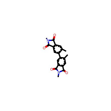 Cc1cc2c(cc1-c1cc3c(cc1C)C(=O)N(C)C3=O)C(=O)N(C)C2=O